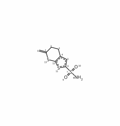 C=C1CCc2cc(S(N)(=O)=O)sc2S1